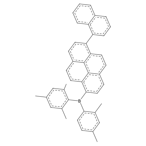 Cc1ccc(B(c2c(C)cc(C)cc2C)c2ccc3ccc4c(-c5cccc6ccccc56)ccc5ccc2c3c54)c(C)c1